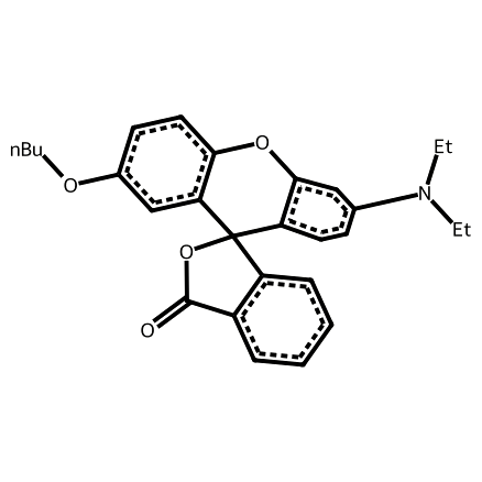 CCCCOc1ccc2c(c1)C1(OC(=O)c3ccccc31)c1ccc(N(CC)CC)cc1O2